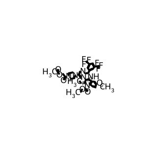 CCOC(=O)N1c2ccc(OC)cc2[C@@H](NC(c2cc(C(F)(F)F)cc(C(F)(F)F)c2)c2ncc(N3CCN(C(=O)COC(C)=O)CC3)cn2)C[C@H]1CC